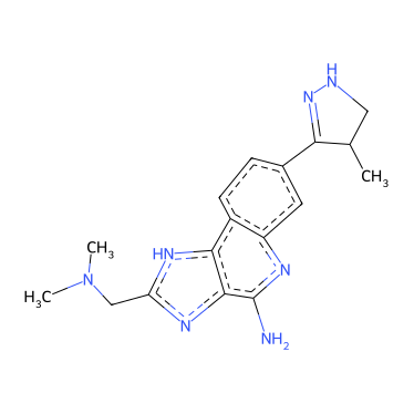 CC1CNN=C1c1ccc2c(c1)nc(N)c1nc(CN(C)C)[nH]c12